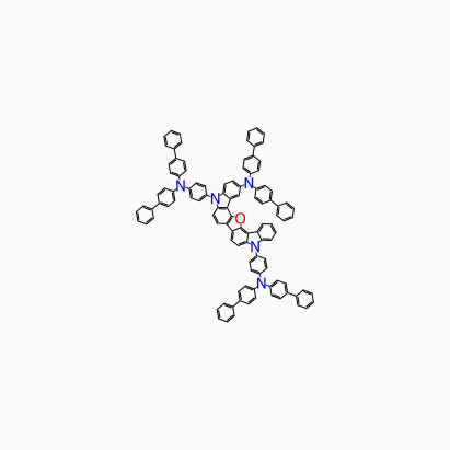 c1ccc(-c2ccc(N(c3ccc(-c4ccccc4)cc3)c3ccc(-n4c5ccccc5c5c6oc7c(ccc8c7c7cc(N(c9ccc(-c%10ccccc%10)cc9)c9ccc(-c%10ccccc%10)cc9)ccc7n8-c7ccc(N(c8ccc(-c9ccccc9)cc8)c8ccc(-c9ccccc9)cc8)cc7)c6ccc54)cc3)cc2)cc1